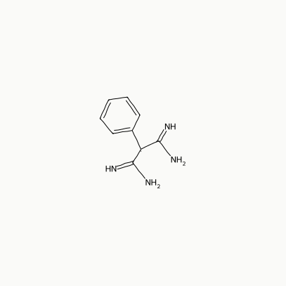 N=C(N)[C](C(=N)N)c1ccccc1